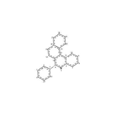 c1ccc(-c2nc3ccccc3c3c2ccc2ccccc23)cc1